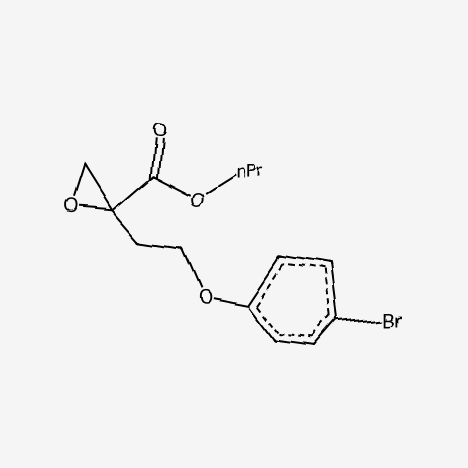 CCCOC(=O)C1(CCOc2ccc(Br)cc2)CO1